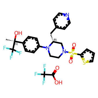 C[C@](O)(c1ccc(N2CCN(S(=O)(=O)c3cccs3)C[C@H]2Cc2ccncc2)cc1)C(F)(F)F.O=C(O)C(F)(F)F